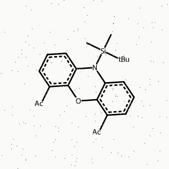 CC(=O)c1cccc2c1Oc1c(C(C)=O)cccc1N2[Si](C)(C)C(C)(C)C